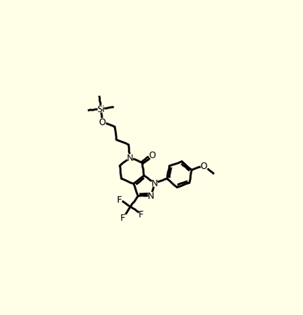 COc1ccc(-n2nc(C(F)(F)F)c3c2C(=O)N(CCCO[Si](C)(C)C)CC3)cc1